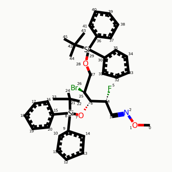 CON=C[C@@H](F)[C@H](O[Si](c1ccccc1)(c1ccccc1)C(C)(C)C)[C@@H](Br)CO[Si](c1ccccc1)(c1ccccc1)C(C)(C)C